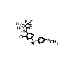 CSc1ccc([S+]([O-])c2ccc(NC(=O)[C@@](C)(O)C(F)(F)F)c(Cl)c2)cc1